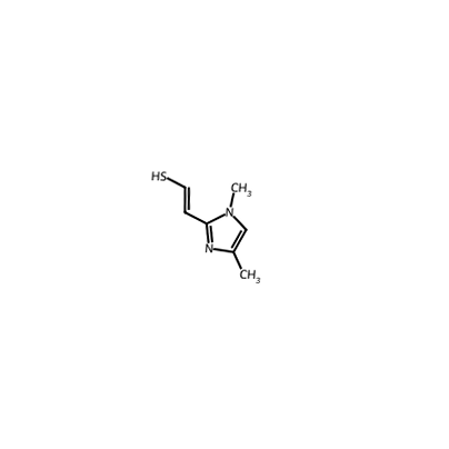 Cc1cn(C)c(C=CS)n1